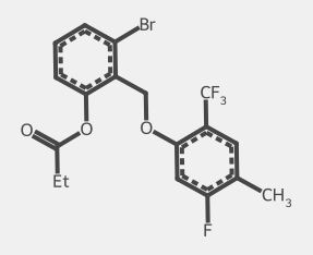 CCC(=O)Oc1cccc(Br)c1COc1cc(F)c(C)cc1C(F)(F)F